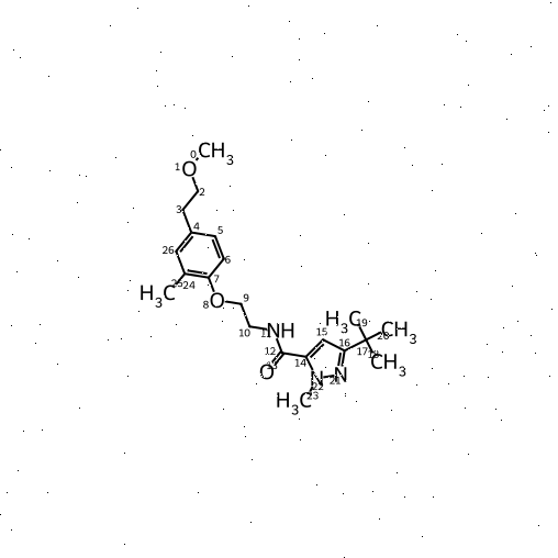 COCCc1ccc(OCCNC(=O)c2cc(C(C)(C)C)nn2C)c(C)c1